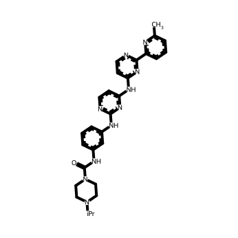 Cc1cccc(-c2nccc(Nc3ccnc(Nc4cccc(NC(=O)N5CCN(C(C)C)CC5)c4)n3)n2)n1